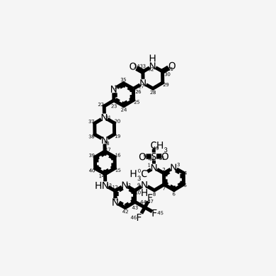 CN(c1ncccc1CNc1nc(Nc2ccc(N3CCN(Cc4ccc(N5CCC(=O)NC5=O)cn4)CC3)cc2)ncc1C(F)(F)F)S(C)(=O)=O